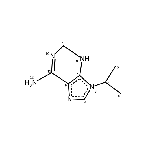 CC(C)n1cnc2c1NCN=C2N